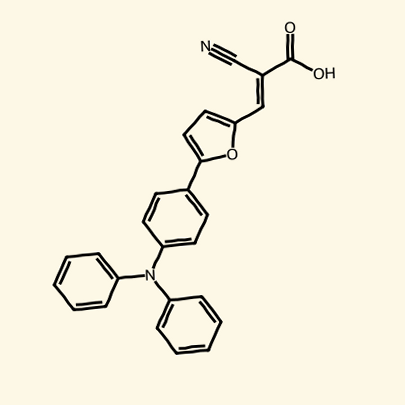 N#C/C(=C\c1ccc(-c2ccc(N(c3ccccc3)c3ccccc3)cc2)o1)C(=O)O